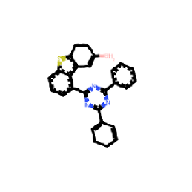 BC1=Cc2c(sc3cccc(-c4nc(C5=CCCC=C5)nc(-c5ccccc5)n4)c23)CC1